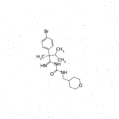 CC(C)C(C)(C(=N)NC(=O)NCC1CCOCC1)c1ccc(Br)cc1